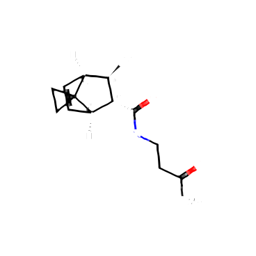 COC(=O)CCNC(=O)[C@H]1[C@H](C(=O)O)[C@@H]2C=C[C@H]1C21CC1